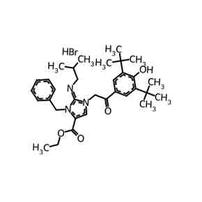 Br.CCOC(=O)c1cn(CC(=O)c2cc(C(C)(C)C)c(O)c(C(C)(C)C)c2)/c(=N\CC(C)C)n1Cc1ccccc1